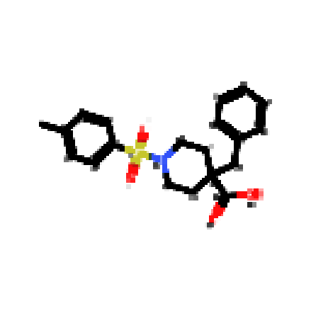 Cc1ccc(S(=O)(=O)N2CCC(Cc3ccccc3)(C(=O)O)CC2)cc1